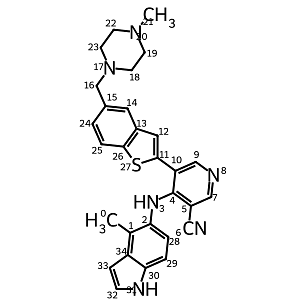 Cc1c(Nc2c(C#N)cncc2-c2cc3cc(CN4CCN(C)CC4)ccc3s2)ccc2[nH]ccc12